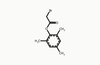 Cc1cc(C)c(OC(=O)CBr)c(C)c1